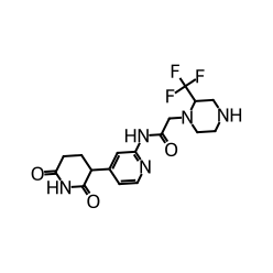 O=C1CCC(c2ccnc(NC(=O)CN3CCNCC3C(F)(F)F)c2)C(=O)N1